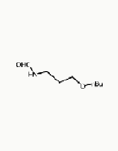 CCCCOCCCN[C]=O